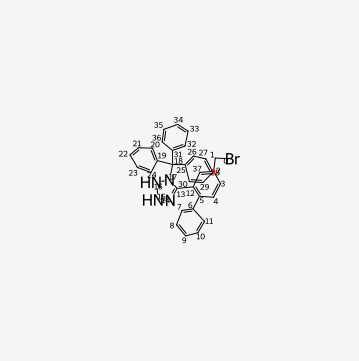 BrCc1ccc(-c2ccccc2)c(C2=NNNN2C(c2ccccc2)(c2ccccc2)c2ccccc2)c1